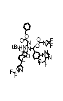 CC(C)(C)C[C@]1(c2ccc(-c3cnn(C(F)F)c3)cc2)NC(=NC(=O)OCc2ccccc2)N(C(COC(=O)N2CC(F)(F)C2)c2ccc(Cl)c(-n3ncnc3C(F)F)c2)C1=O